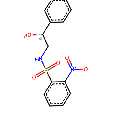 O=[N+]([O-])c1ccccc1S(=O)(=O)NC[C@H](O)c1ccccc1